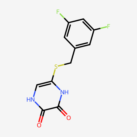 O=c1[nH]cc(SCc2cc(F)cc(F)c2)[nH]c1=O